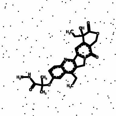 CCc1c2c(nc3ccc(OC(C)(C)C(=O)NN)cc13)-c1cc3c(c(=O)n1C2)COC(=O)C3(O)CC